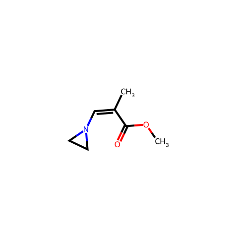 COC(=O)C(C)=CN1CC1